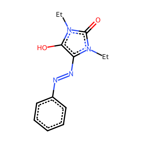 CCn1c(O)c(N=Nc2ccccc2)n(CC)c1=O